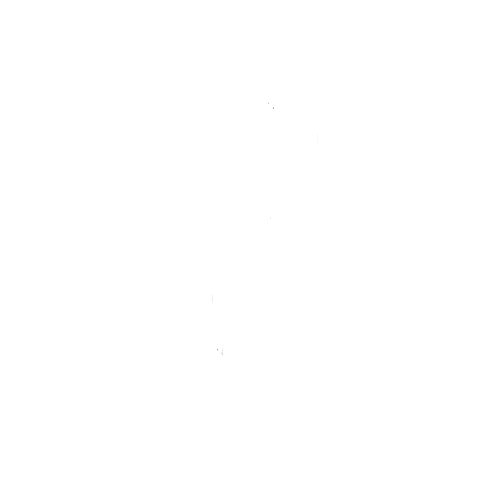 Cc1c(Oc2ccc3c(c2Br)-n2c4ccccc4c4cccc(c42)O3)cccc1Oc1ccc2c(c1Br)-n1c3ccccc3c3cccc(c31)O2